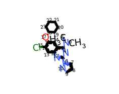 CN(C)c1nc(-n2cccn2)nc2cc(Cl)c(OC3CCCCC3)cc12